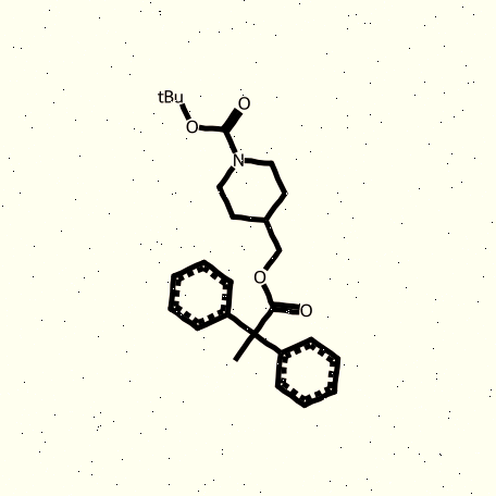 CC(C)(C)OC(=O)N1CCC(COC(=O)C(C)(c2ccccc2)c2ccccc2)CC1